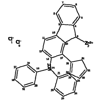 [Cl-].[Cl-].[Zr+2][CH]1c2ccccc2-c2ccc([SiH](c3ccccc3)c3ccccc3)c(C3=CC=CC3)c21